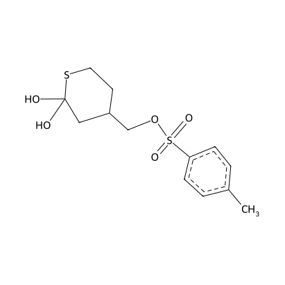 Cc1ccc(S(=O)(=O)OCC2CCSC(O)(O)C2)cc1